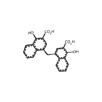 O=C(O)c1cc(Cc2cc(C(=O)O)c(O)c3ccccc23)c2ccccc2c1O